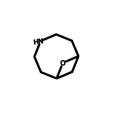 C1CC2CC(CCN1)O2